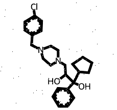 OC(CN1CCN(Cc2ccc(Cl)cc2)CC1)C(O)(c1ccccc1)C1CCCC1